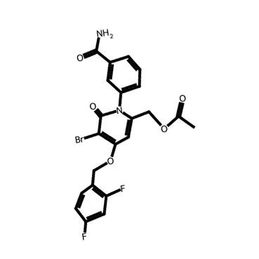 CC(=O)OCc1cc(OCc2ccc(F)cc2F)c(Br)c(=O)n1-c1cccc(C(N)=O)c1